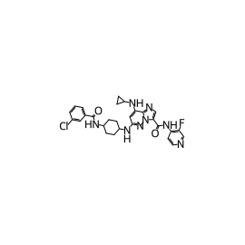 O=C(NC1CCC(Nc2cc(NC3CC3)c3ncc(C(=O)Nc4ccncc4F)n3n2)CC1)c1cccc(Cl)c1